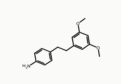 COc1cc(CCc2ccc(N)cc2)cc(OC)c1